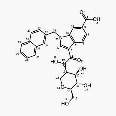 O=C(O)c1ccc2c(C(=O)N(O)[C@@H]3CO[C@H](CO)[C@@H](O)[C@@H]3O)cn(Cc3ccc4ccccc4c3)c2c1